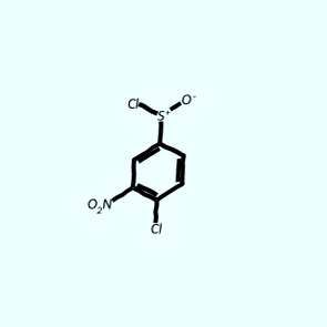 O=[N+]([O-])c1cc([S+]([O-])Cl)ccc1Cl